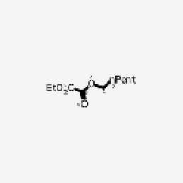 CCCCCCOC(=O)C(=O)OCC